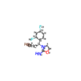 Br.N=c1occn1C(C=O)c1ccc(F)cc1F